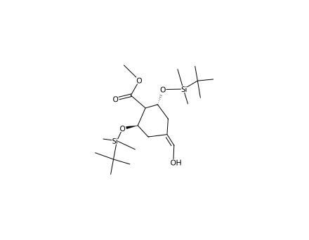 COC(=O)C1[C@H](O[Si](C)(C)C(C)(C)C)CC(=CO)C[C@H]1O[Si](C)(C)C(C)(C)C